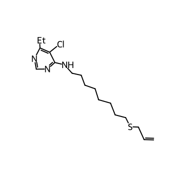 C=CCSCCCCCCCCNc1ncnc(CC)c1Cl